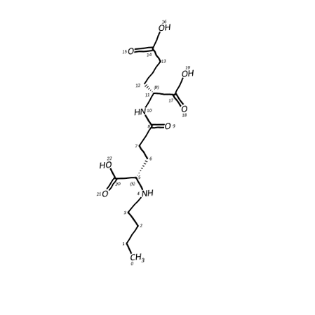 CCCCN[C@@H](CCC(=O)N[C@H](CCC(=O)O)C(=O)O)C(=O)O